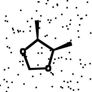 C[C@@H]1OCO[C@@H]1C